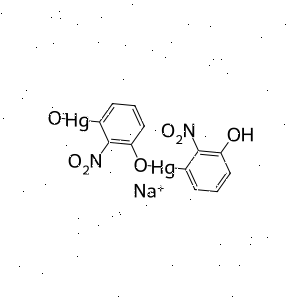 O=[N+]([O-])c1c(O)ccc[c]1[Hg][O]c1ccc[c]([Hg][O-])c1[N+](=O)[O-].[Na+]